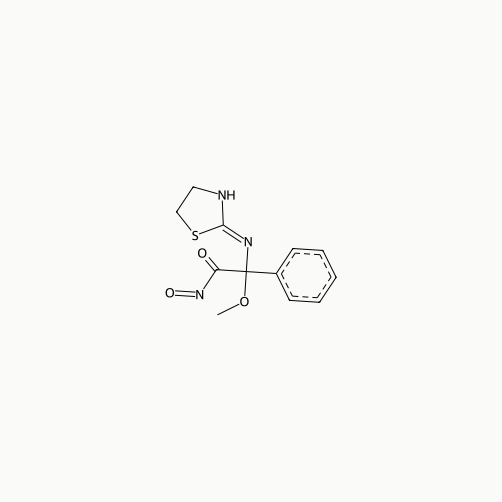 COC(N=C1NCCS1)(C(=O)N=O)c1ccccc1